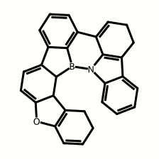 C1=CC2=C(CC1)C1C(=CC=C3c4cccc5c4B(C31)n1c3c(c4ccccc41)CCC=C53)O2